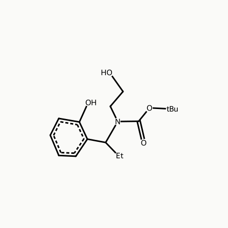 CCC(c1ccccc1O)N(CCO)C(=O)OC(C)(C)C